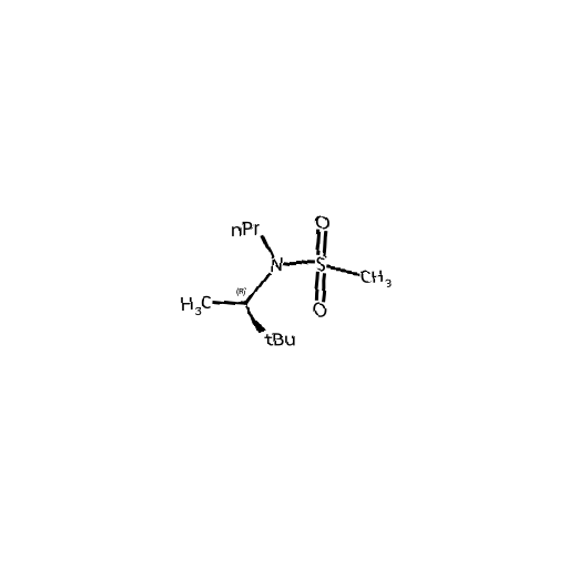 CCCN([C@H](C)C(C)(C)C)S(C)(=O)=O